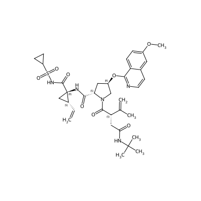 C=C[C@@H]1C[C@]1(NC(=O)[C@@H]1C[C@@H](Oc2nccc3cc(OC)ccc23)CN1C(=O)[C@@H](CC(=O)NC(C)(C)C)C(=C)C)C(=O)NS(=O)(=O)C1CC1